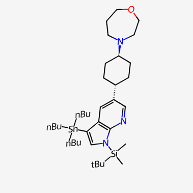 CCC[CH2][Sn]([CH2]CCC)([CH2]CCC)[c]1cn([Si](C)(C)C(C)(C)C)c2ncc([C@H]3CC[C@H](N4CCCOCC4)CC3)cc12